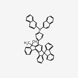 CC1(C)c2ccccc2-c2c3c(cc(-c4ccc(N(c5ccc6ccccc6c5)c5ccc6ccccc6c5)cc4)c21)C1(c2ccccc2-c2ccccc21)c1ccccc1-3